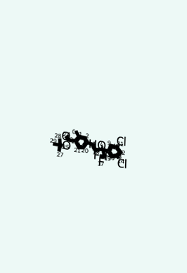 Cc1cc(C=C[C@](O)(c2cc(Cl)cc(Cl)c2)C(F)(F)F)ccc1C(=O)OC(C)(C)C